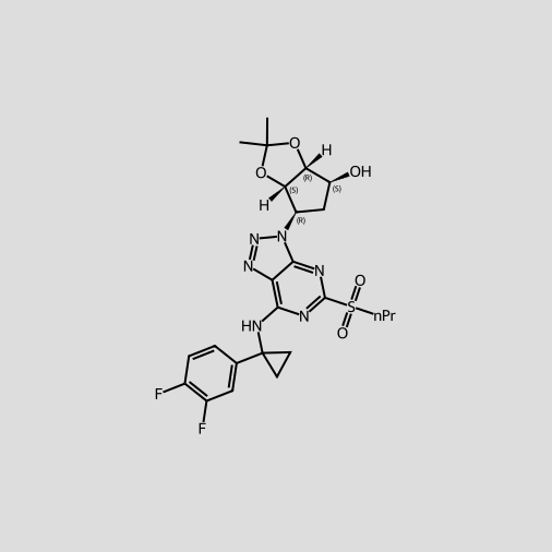 CCCS(=O)(=O)c1nc(NC2(c3ccc(F)c(F)c3)CC2)c2nnn([C@@H]3C[C@H](O)[C@H]4OC(C)(C)O[C@H]43)c2n1